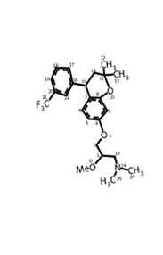 COC(COc1ccc2c(c1)OC(C)(C)CC2c1cccc(C(F)(F)F)c1)CN(C)C